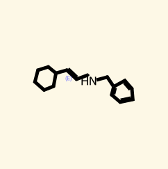 C(=C\C1CCCCC1)/CNCc1ccccc1